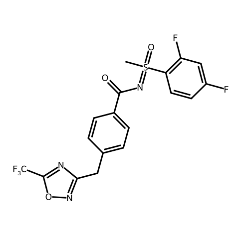 CS(=O)(=NC(=O)c1ccc(Cc2noc(C(F)(F)F)n2)cc1)c1ccc(F)cc1F